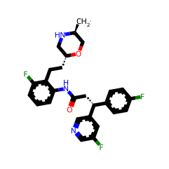 [CH2][C@H]1CO[C@H](CCc2c(F)cccc2NC(=O)C[C@H](c2ccc(F)cc2)c2cncc(F)c2)CN1